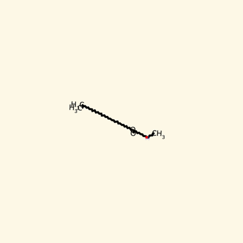 CCCC/C=C\CCCCCCCC(=O)OCCCCCCCCCCCCCCCCCCCCCCCCCCCCCCC(C)CC